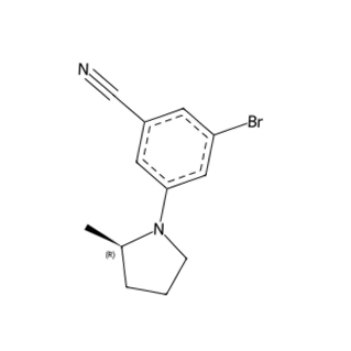 C[C@@H]1CCCN1c1cc(Br)cc(C#N)c1